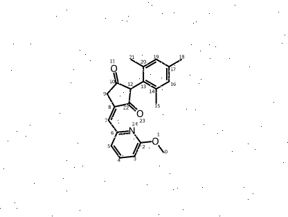 COc1cccc(C=C2CC(=O)C(c3c(C)cc(C)cc3C)C2=O)n1